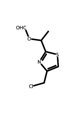 CC(OC=O)c1nc(CCl)cs1